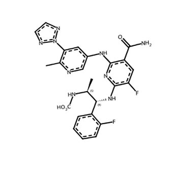 Cc1ncc(Nc2nc(N[C@H](c3ccccc3F)[C@H](C)NC(=O)O)c(F)cc2C(N)=O)cc1-n1nccn1